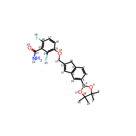 CC1(C)OB(c2ccc3c(c2)C=C(COc2ccc(F)c(C(N)=O)c2F)C3)OC1(C)C